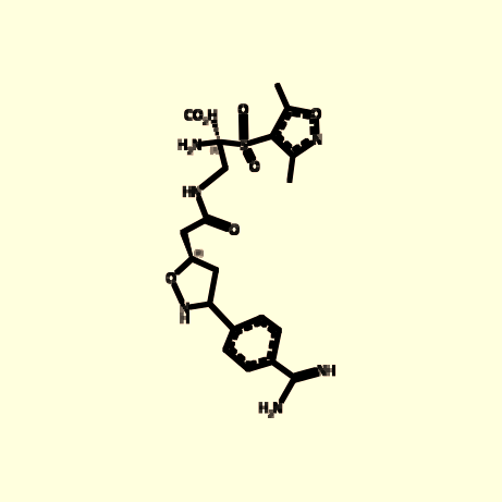 Cc1noc(C)c1S(=O)(=O)[C@](N)(CNC(=O)C[C@H]1CC(c2ccc(C(=N)N)cc2)NO1)C(=O)O